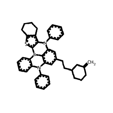 C=C1CCCC(CCc2cc3c4c(c2)N(c2ccccc2)c2c(sc5c2CCCC5)B4c2ccccc2N3c2ccccc2)C1